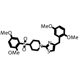 COc1ccc(OC)c(Cc2csc(N3CCC(S(=O)(=O)c4cc(OC)ccc4OC)CC3)n2)c1